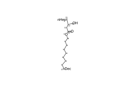 CCCCCCCCCCCCCCCCCCOC(=O)CC(O)CCCCCCC